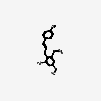 COc1cc(N)c(CC=Cc2ccc(O)cc2)c(OC)c1